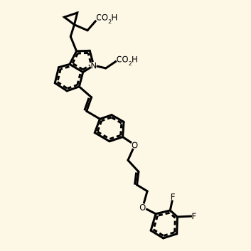 O=C(O)Cn1cc(CC2(CC(=O)O)CC2)c2cccc(C=Cc3ccc(OCC=CCOc4cccc(F)c4F)cc3)c21